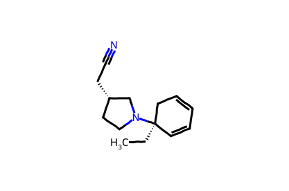 CC[C@@]1(N2CC[C@H](CC#N)C2)C=CC=CC1